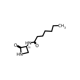 CCCCCCC(=O)N[C@H]1CNC1=O